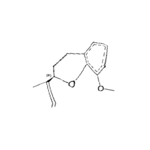 C=C(C)[C@H]1CCc2cccc(OC)c2O1